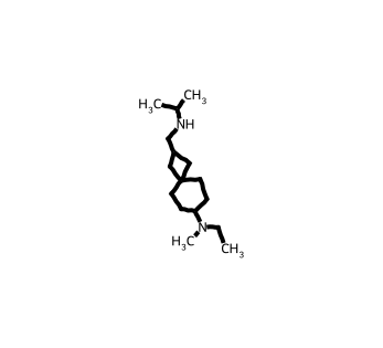 CCN(C)C1CCC2(CC1)CC(CNC(C)C)C2